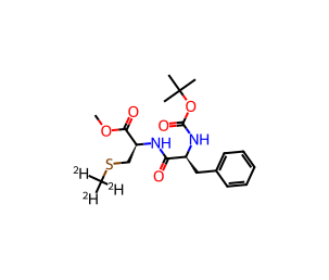 [2H]C([2H])([2H])SC[C@H](NC(=O)[C@H](Cc1ccccc1)NC(=O)OC(C)(C)C)C(=O)OC